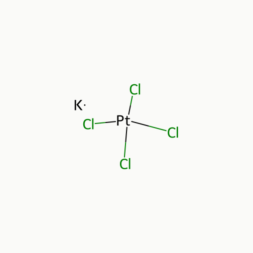 [Cl][Pt]([Cl])([Cl])[Cl].[K]